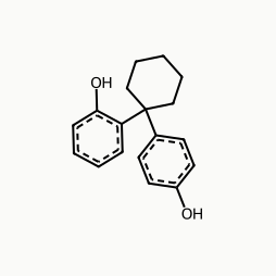 Oc1ccc(C2(c3ccccc3O)CCCCC2)cc1